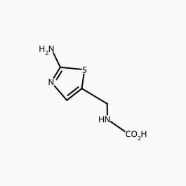 Nc1ncc(CNC(=O)O)s1